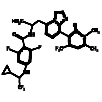 Cc1cc(C(F)(F)F)c(-c2ccc(CC(NC(=O)c3c(F)cc(NC(C4CC4)C(F)(F)F)cc3F)C(=O)O)n3ccnc23)c(=O)n1C